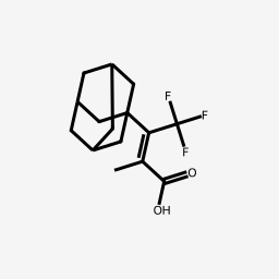 C/C(C(=O)O)=C(/C(F)(F)F)C12CC3CC(CC(C3)C1)C2